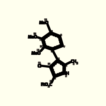 CCOC(=O)c1[nH]c(C)c(-c2ccc(OC)c(OC)c2OC)c1Cl